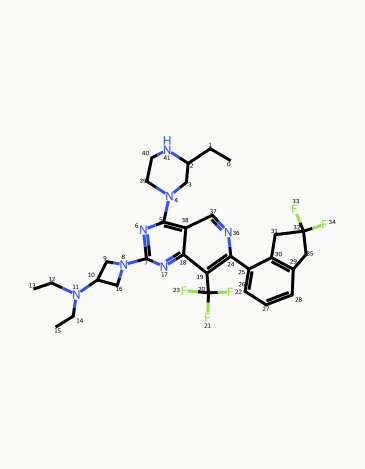 CCC1CN(c2nc(N3CC(N(CC)CC)C3)nc3c(C(F)(F)F)c(-c4cccc5c4CC(F)(F)C5)ncc23)CCN1